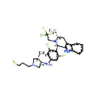 C[C@@H]1Cc2c([nH]c3ccccc23)[C@@H](c2c(F)cc(N[C@H]3CN(CCCF)C[C@@H]3C)cc2F)N1CC(F)(F)F